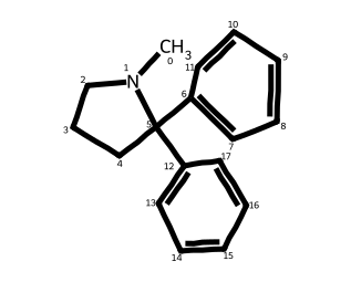 CN1CCCC1(c1ccccc1)c1ccccc1